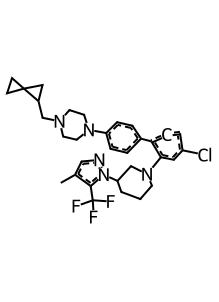 Cc1cnn(C2CCCN(c3cc(Cl)ccc3-c3ccc(N4CCN(CC5CC56CC6)CC4)cc3)C2)c1C(F)(F)F